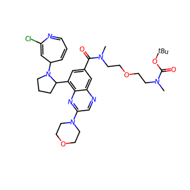 CN(CCOCCN(C)C(=O)c1cc(C2CCCN2C2C=CC=NC(Cl)=C2)c2nc(N3CCOCC3)cnc2c1)C(=O)OC(C)(C)C